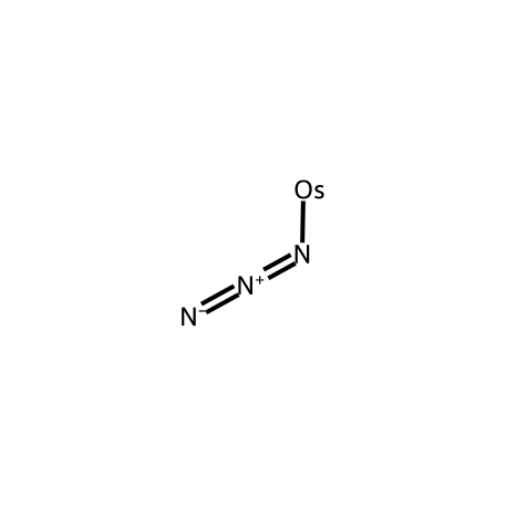 [N-]=[N+]=[N][Os]